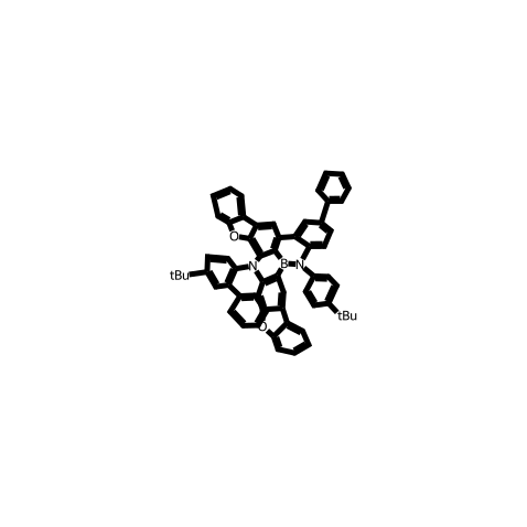 CC(C)(C)c1ccc(N2B3c4cc5c(cc4N(c4ccc(C(C)(C)C)cc4-c4ccccc4)c4c3c(cc3c4oc4ccccc43)-c3cc(-c4ccccc4)ccc32)oc2ccccc25)cc1